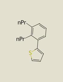 CCCc1cccc(-c2cccs2)c1CCC